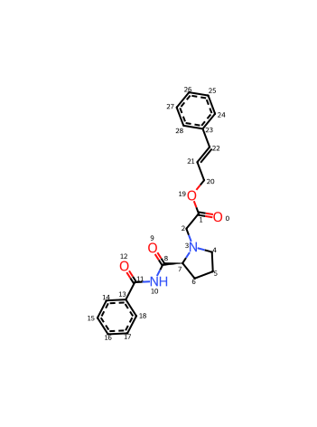 O=C(CN1CCC[C@H]1C(=O)NC(=O)c1ccccc1)OCC=Cc1ccccc1